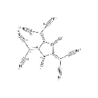 N#CC(C#N)=C1C(=O)C(=C(C#N)C#N)C(=C(C#N)C#N)C1=O